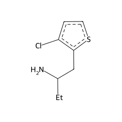 CCC(N)Cc1sccc1Cl